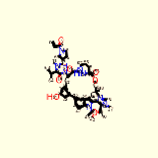 C=CC(=O)N1CC[C@H](C(=O)N(C)C(C(=O)N[C@H]2Cc3cc(O)cc(c3)-c3ccc4c(c3)c(c(-c3ncn(C)c3[C@H](C)OC)n4CC)CC(C)(C)COC(=O)[C@@H]3CCCN(N3)C2=O)C(C)C)C1